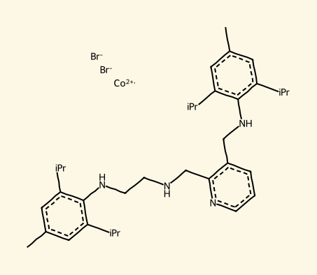 Cc1cc(C(C)C)c(NCCNCc2ncccc2CNc2c(C(C)C)cc(C)cc2C(C)C)c(C(C)C)c1.[Br-].[Br-].[Co+2]